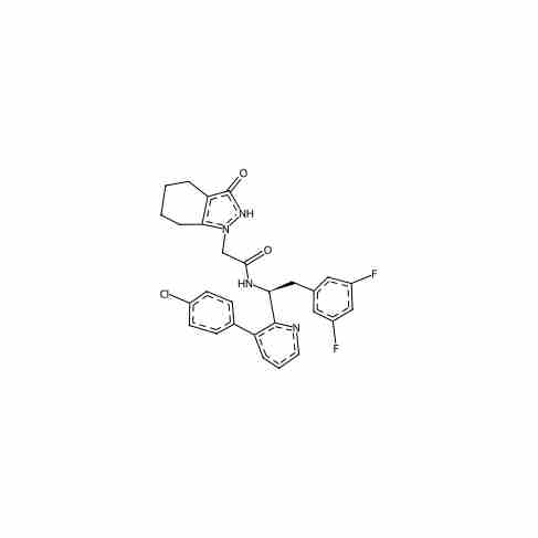 O=C(Cn1[nH]c(=O)c2c1CCCC2)N[C@@H](Cc1cc(F)cc(F)c1)c1ncccc1-c1ccc(Cl)cc1